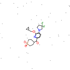 O=C(c1ccc(N2CCC(F)(F)C2)c(OCC2CC2)n1)C1CCS(=O)(=O)CC1